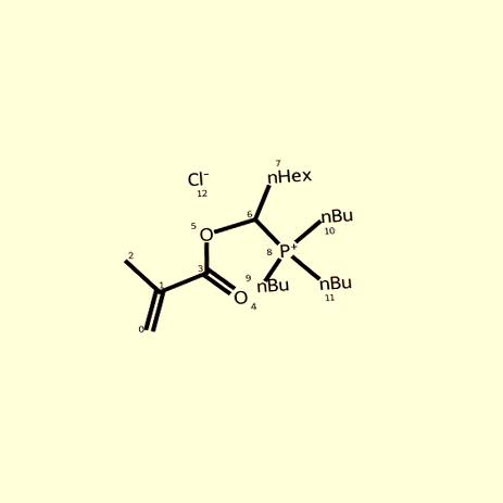 C=C(C)C(=O)OC(CCCCCC)[P+](CCCC)(CCCC)CCCC.[Cl-]